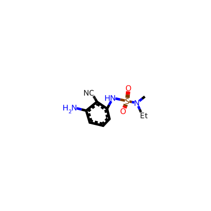 CCN(C)S(=O)(=O)Nc1cccc(N)c1C#N